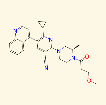 COCCC(=O)N1CCN(c2nc(C3CC3)c(-c3ccnc4ccccc34)cc2C#N)C[C@H]1C